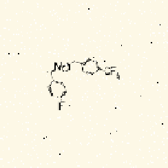 Fc1ccc(/[C]=N\OCc2ccc(C(F)(F)F)cc2)cc1